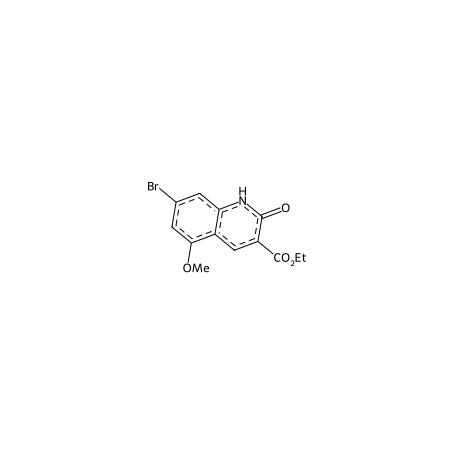 CCOC(=O)c1cc2c(OC)cc(Br)cc2[nH]c1=O